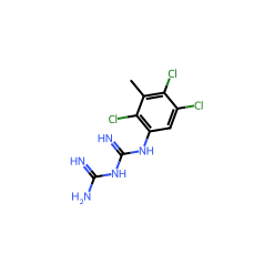 Cc1c(Cl)c(Cl)cc(NC(=N)NC(=N)N)c1Cl